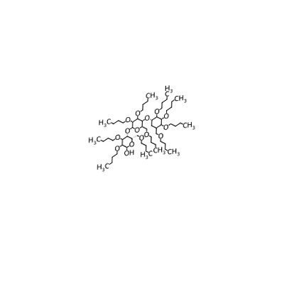 CCCCOCC1O[C@@H](O[C@H]2C(OCCCC)C(OCCCC)[C@H](O)O[C@H]2COCCCC)[C@@H](OCCCC)C(OCCCC)[C@H]1O[C@H]1CC(COCCCC)[C@H](OCCCC)[C@H](OCCCC)C1OCCCC